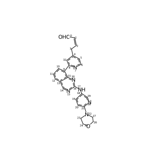 O=C/C=C\Cc1ccnc(-c2cccc3cnc(Nc4ccc(N5CCOCC5)nc4)nc23)c1